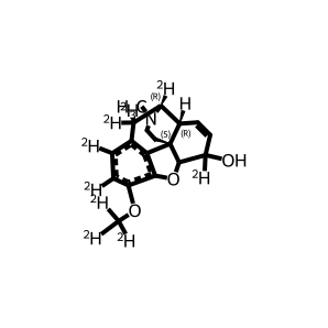 [2H]c1c([2H])c2c3c(c1OC([2H])([2H])[2H])OC1C([2H])(O)C=C[C@@H]4[C@@]31CCN(C)[C@]4([2H])C2([2H])[2H]